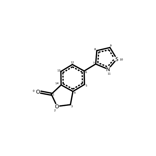 O=C1OCc2cc(-c3ccsn3)ccc21